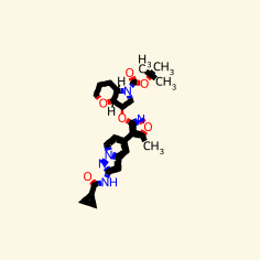 Cc1onc(O[C@@H]2CN(C(=O)OC(C)(C)C)[C@@H]3CCCO[C@@H]32)c1-c1ccn2nc(NC(=O)C3CC3)cc2c1